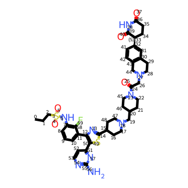 CCCS(=O)(=O)Nc1cccc(-c2nc(C3CCN(CC4CCN(C(=O)CN5CCc6cc([C@@H]7CCC(=O)NC7=O)ccc6C5)CC4)CC3)sc2-c2ccnc(N)n2)c1F